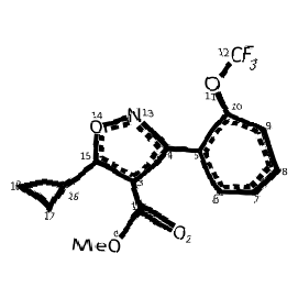 COC(=O)c1c(-c2ccccc2OC(F)(F)F)noc1C1CC1